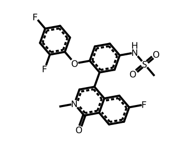 Cn1cc(-c2cc(NS(C)(=O)=O)ccc2Oc2ccc(F)cc2F)c2cc(F)ccc2c1=O